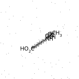 Cc1coc(NC(=O)NCCCCCCCCCCCC(=O)O)n1